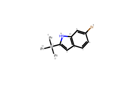 CC(C)[Si](c1cc2ccc(Br)cc2[nH]1)(C(C)C)C(C)C